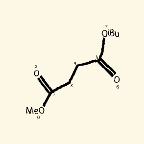 COC(=O)CCC(=O)OCC(C)C